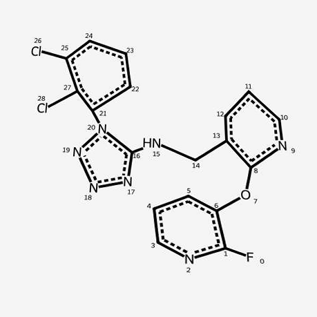 Fc1ncccc1Oc1ncccc1CNc1nnnn1-c1cccc(Cl)c1Cl